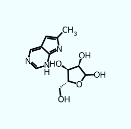 Cc1cc2cnc[nH]c-2n1.OC[C@H]1OC(O)[C@H](O)[C@@H]1O